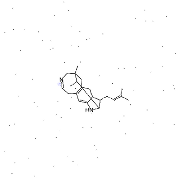 CC(C)=CCC1C2CC3=C4C=C2NC1C(C)C(C)(C/N=C\C4)C3